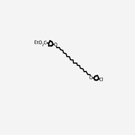 CCOC(=O)c1ccc(OCCCCCCCCCCCCCCCCCCCCOc2ccc(Cl)cc2)cc1